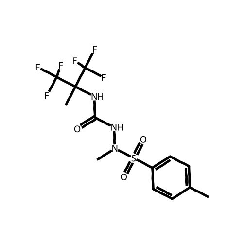 Cc1ccc(S(=O)(=O)N(C)NC(=O)NC(C)(C(F)(F)F)C(F)(F)F)cc1